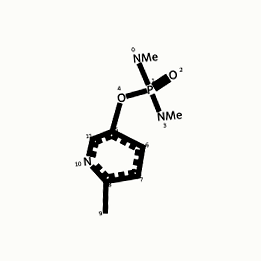 CNP(=O)(NC)Oc1ccc(C)nc1